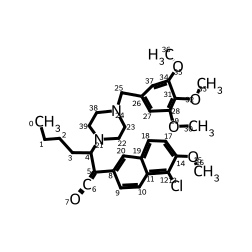 CCCCC(C(=C=O)c1ccc2c(Cl)c(OC)ccc2c1)N1CCN(Cc2cc(OC)c(OC)c(OC)c2)CC1